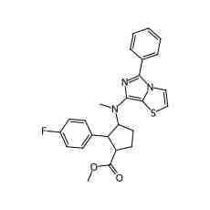 COC(=O)C1CCC(N(C)c2nc(-c3ccccc3)n3ccsc23)C1c1ccc(F)cc1